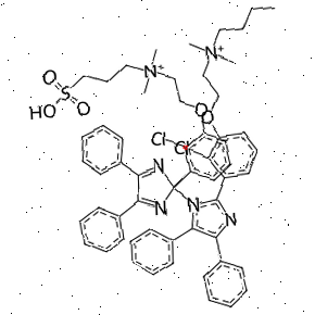 CCCC[N+](C)(C)CCOc1cccc(-c2nc(-c3ccccc3)c(-c3ccccc3)n2C2(c3cccc(OCC[N+](C)(C)CCCS(=O)(=O)O)c3Cl)N=C(c3ccccc3)C(c3ccccc3)=N2)c1Cl